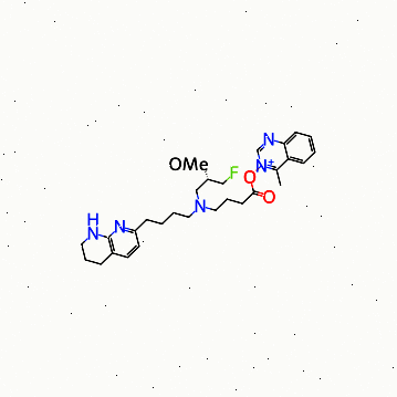 CO[C@H](CF)CN(CCCCc1ccc2c(n1)NCCC2)CCCC(=O)O[n+]1cnc2ccccc2c1C